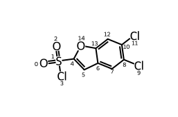 O=S(=O)(Cl)c1cc2cc(Cl)c(Cl)cc2o1